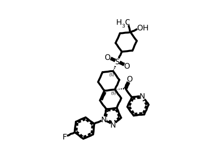 CC1(O)CCC(S(=O)(=O)[C@H]2CCC3=Cc4c(cnn4-c4ccc(F)cc4)C[C@]3(C(=O)c3ccccn3)C2)CC1